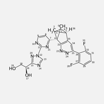 CC1(C)[C@H]2CC[C@]1(c1ccnc(-n3cnc([C@@H](O)CO)n3)n1)c1nnc(-c3c(F)cccc3F)cc12